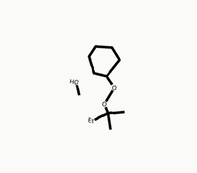 CCC(C)(C)OOC1CCCCC1.CO